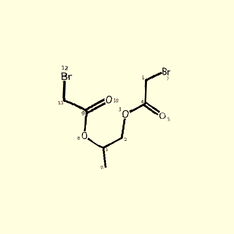 CC(COC(=O)CBr)OC(=O)CBr